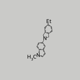 CCc1ccc2c(c1)CN(c1ccc3c(ccn3C)c1)C2